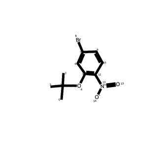 CC(C)(C)Oc1cc(Br)ccc1[N+](=O)[O-]